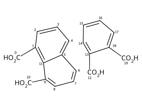 O=C(O)c1cccc2cccc(C(=O)O)c12.O=C(O)c1ccccc1C(=O)O